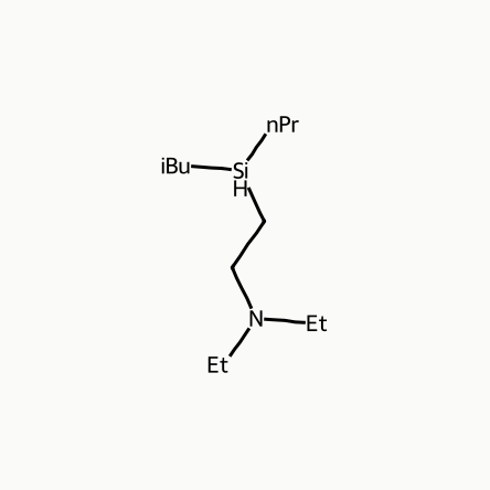 CCC[SiH](CCN(CC)CC)C(C)CC